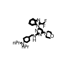 CCCN(CCC)C1CCC(CNc2nc(N3CCOCC3)cc(-n3c(C(F)F)nc4ccccc43)n2)CC1